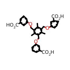 Cc1c(COc2cccc(C(=O)O)c2)c(C)c(COc2cccc(C(=O)O)c2)c(C)c1COc1cccc(C(=O)O)c1